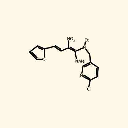 CCN(Cc1ccc(Cl)nc1)C(NC)=C(C=Cc1cccs1)[N+](=O)[O-]